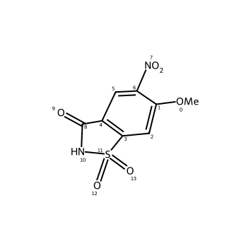 COc1cc2c(cc1[N+](=O)[O-])C(=O)NS2(=O)=O